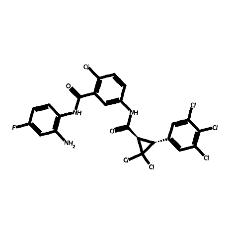 Nc1cc(F)ccc1NC(=O)c1cc(NC(=O)[C@H]2[C@H](c3cc(Cl)c(Cl)c(Cl)c3)C2(Cl)Cl)ccc1Cl